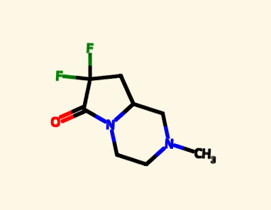 CN1CCN2C(=O)C(F)(F)CC2C1